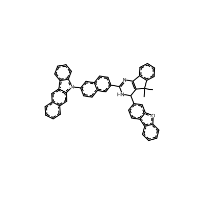 CC1(C)C2=C(N=C(c3ccc4cc(-n5c6ccccc6c6cc7ccccc7cc65)ccc4c3)NC2c2ccc3c(c2)oc2ccccc23)c2ccccc21